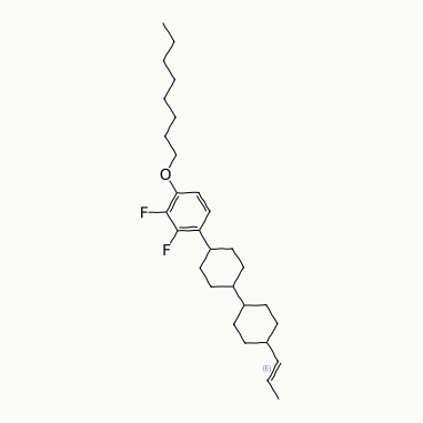 C/C=C/C1CCC(C2CCC(c3ccc(OCCCCCCCC)c(F)c3F)CC2)CC1